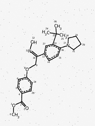 COC(=O)c1ccc(OCC(=NO)c2ccc(N3CCCC3)c(C(C)(C)C)c2)cc1